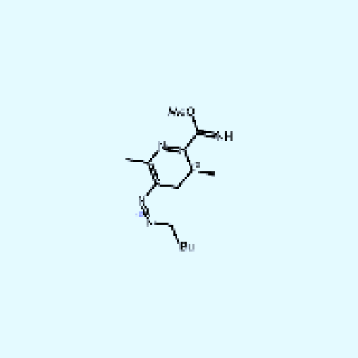 CCC(C)C/N=N\C1=C(C)N=C(C(=N)OC)[C@@H](C)C1